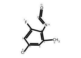 Cc1cc(Cl)cc(F)c1N=C=O